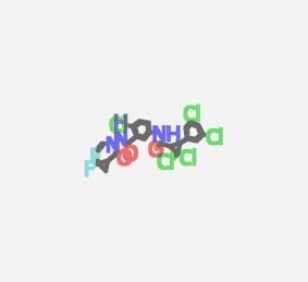 C=CN(NC(=O)c1cc(NC(=O)C2C(c3cc(Cl)cc(Cl)c3)C2(Cl)Cl)ccc1Cl)C(=O)C1CC1(F)F